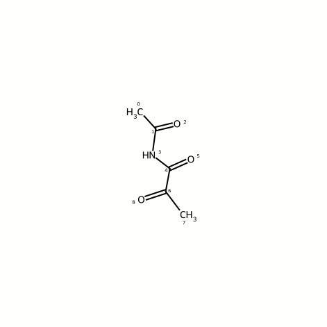 CC(=O)NC(=O)C(C)=O